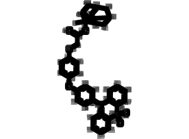 CC1(OC(=O)COc2ccc(Oc3ccc([SH]4c5ccccc5S(=O)(=O)c5ccccc54)cc3)cc2)C2CC3CC(C2)CC1C3